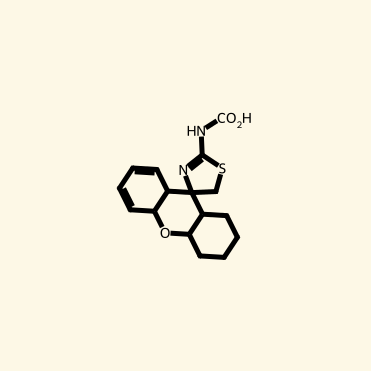 O=C(O)NC1=NC2(CS1)C1C=CC=CC1OC1CCCCC12